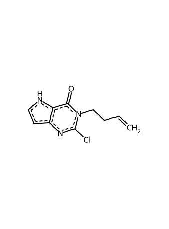 C=CCCn1c(Cl)nc2cc[nH]c2c1=O